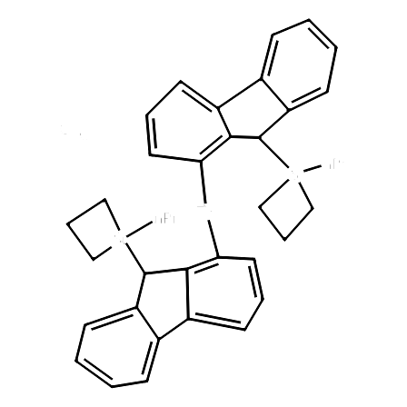 CCC[Si]1(C2c3ccccc3-c3ccc[c]([Ti+2][c]4cccc5c4C([Si]4(CCC)CCC4)c4ccccc4-5)c32)CCC1.[Cl-].[Cl-]